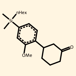 CCCCCC[Si](C)(C)c1ccc(C2CCCC(=O)C2)c(OC)c1